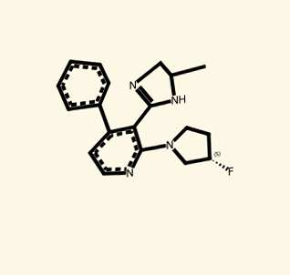 CC1CN=C(c2c(-c3ccccc3)ccnc2N2CC[C@H](F)C2)N1